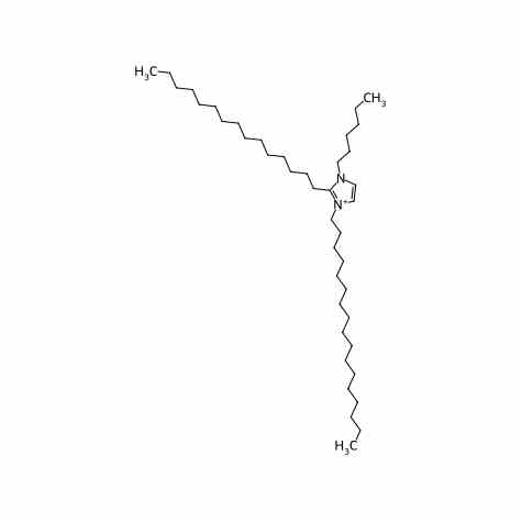 CCCCCCCCCCCCCCCCC[n+]1ccn(CCCCCC)c1CCCCCCCCCCCCCCC